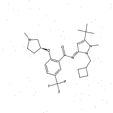 CN1CC[C@H](Oc2ccc(C(F)(F)F)cc2C(=O)/N=c2\cc(C(C)(C)C)n(C)n2CC2CCC2)C1